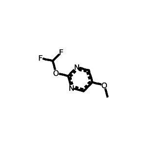 COc1cnc(OC(F)F)nc1